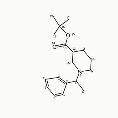 CC(c1ccccc1)N1CCCC(C(=O)OC(C)(C)C)C1